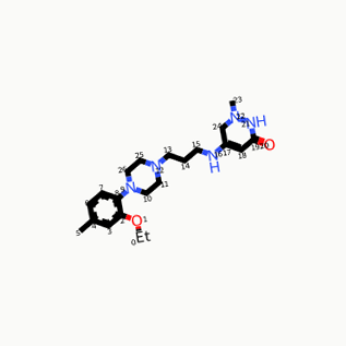 CCOc1cc(C)ccc1N1CCN(CCCNC2=CC(=O)NN(C)C2)CC1